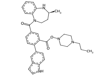 CCCN1CCN(OC(=O)c2cc(C(=O)N3CC[C@H](C)Nc4ccccc43)ccc2-c2ccc3[nH]ccc3c2)CC1